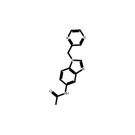 CC(=O)Nc1ccc2c(c1)ncn2Cc1cnccn1